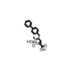 CN([C@H](/C=C/C(=O)O)Cc1ccc(-c2ccccc2)cc1)P(=O)(O)O